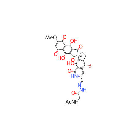 COC1=CC(=O)c2c(O)c3c(c(O)c2C1=O)C(=O)[C@]1(CCc2c1c(O)c1c(=O)[nH]c(C=NNC(=O)CNC(C)=O)cc1c2Br)C3=O